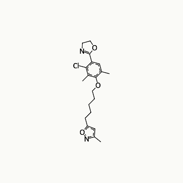 Cc1cc(CCCCCOc2c(C)cc(C3=NCCO3)c(Cl)c2C)on1